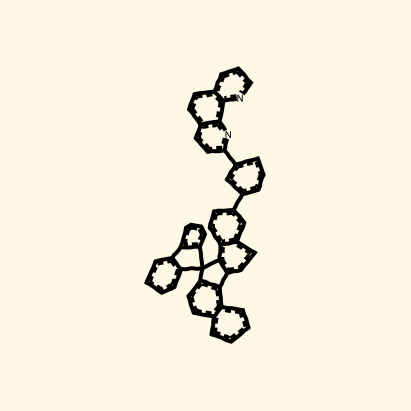 c1cc(-c2ccc3c4c(ccc3c2)-c2c(ccc3ccccc23)C42c3ccccc3-c3ccccc32)cc(-c2ccc3ccc4cccnc4c3n2)c1